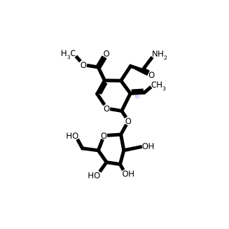 C/C=C1/C(OC2OC(CO)C(O)C(O)C2O)OC=C(C(=O)OC)C1CC(N)=O